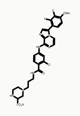 COc1ccc(-c2cnc3c(Nc4ccc(C(=O)NCCCN5CCNC(C(=O)O)C5)c(Cl)c4)nccn23)c(F)c1F